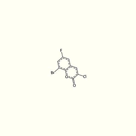 O=c1oc2c(Br)cc(F)cc2cc1Cl